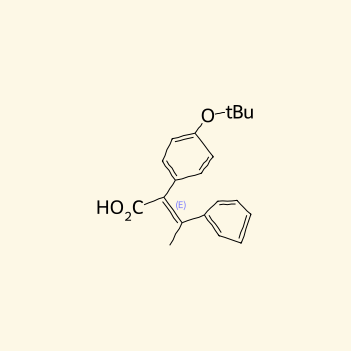 C/C(=C(\C(=O)O)c1ccc(OC(C)(C)C)cc1)c1ccccc1